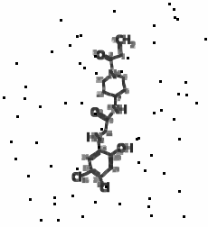 C=CC(=O)N1CCC(NC(=O)CNc2cc(Cl)c(Cl)cc2O)CC1